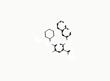 NC(=O)c1cc(F)c(NC2CCCC[C@@H]2N)nc1Nc1cnc2ncccc2c1